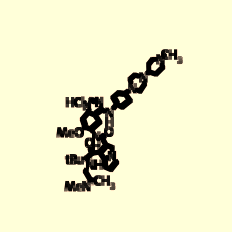 CN[C@@H](C)CN[C@H](C(=O)C1=C(C(=O)Nc2cc3c(Nc4ccc(N5CCN(C6CCN(C)CC6)CC5)cc4)ncnc3cc2OC)Cn2cccc21)C(C)(C)C.Cl